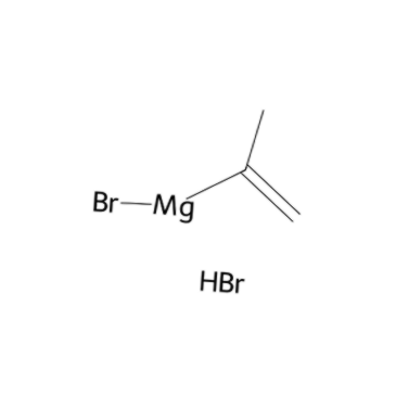 Br.C=[C](C)[Mg][Br]